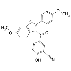 COc1ccc(-c2sc3cc(OC)ccc3c2C(=O)c2ccc(O)c(C#N)c2)cc1